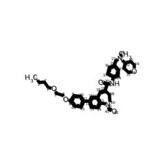 CCCCOCCOc1ccc(-c2ccc3c(c2)C=C(C(=O)Nc2ccc(CN(C)C4CCOCC4)cc2)CCN3C=O)cc1